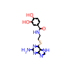 Nc1nc(SCCNC(=O)c2ccc(O)c(O)c2)c2[nH]cnc2n1